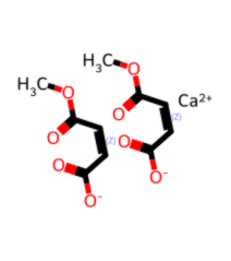 COC(=O)/C=C\C(=O)[O-].COC(=O)/C=C\C(=O)[O-].[Ca+2]